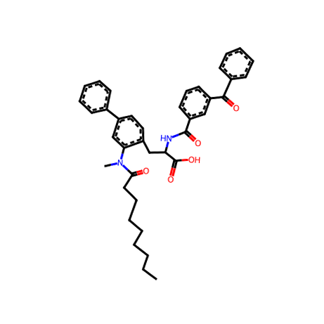 CCCCCCCCC(=O)N(C)c1cc(-c2ccccc2)ccc1CC(NC(=O)c1cccc(C(=O)c2ccccc2)c1)C(=O)O